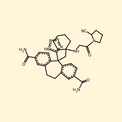 N#CC1CCCN1C(=O)CNC1(CC2(c3nnn[nH]3)c3ccc(C(N)=O)cc3CCc3cc(C(N)=O)ccc32)CCCCC1